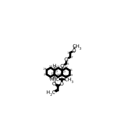 C=CC(=O)OC(C)(C)[C@@]12CCCC[C@@]1(OCOCCOC)C[C@@H]1CCCC[C@@H]1C2